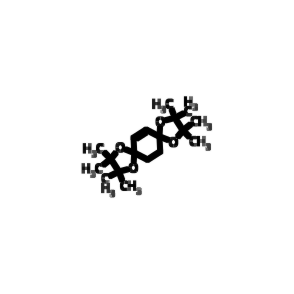 CC1(C)OC2(C=CC3(CC2)OC(C)(C)C(C)(C)O3)OC1(C)C